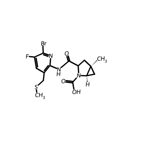 CSCc1cc(F)c(Br)nc1NC(=O)C1C[C@@]2(C)C[C@H]2N1C(=O)O